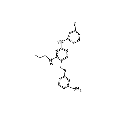 CCCNc1nc(Nc2cccc(F)c2)ncc1CSc1cccc(N)c1